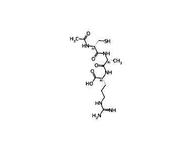 CC(=O)N[C@H](CS)C(=O)N[C@H](C)C(=O)N[C@H](CCCNC(=N)N)C(=O)O